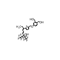 CC/C(=C/C=C/C(O)(C(F)(F)C(F)(F)F)C(F)(F)C(F)(F)F)c1ccc(COc2ccc(CO)c(CO)c2)s1